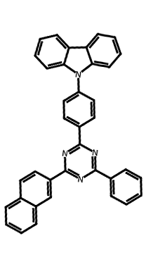 c1ccc(-c2nc(-c3ccc(-n4c5ccccc5c5ccccc54)cc3)nc(-c3ccc4ccccc4c3)n2)cc1